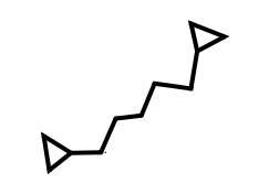 [CH](CCCCC1CC1)C1CC1